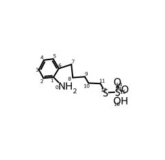 Nc1ccccc1CCCCCSS(=O)(=O)O